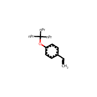 C=Cc1ccc(OC(CCC)(CCC)CCC)cc1